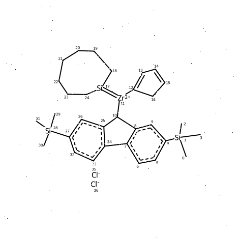 C[Si](C)(C)c1ccc2c(c1)[CH]([Zr+2]([C]1=CC=CC1)=[Si]1CCCCCCC1)c1cc([Si](C)(C)C)ccc1-2.[Cl-].[Cl-]